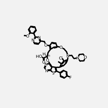 COc1ccccc1-c1nccc(COc2ccc3cc2C[C@H](C(=O)O)Oc2ncnc4sc(-c5ccc(F)cc5)c(c24)-c2ccc(c(Cl)c2C)N(CCN2CCOCC2)CCO3)n1